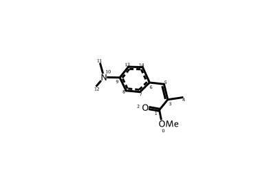 COC(=O)C(C)=Cc1ccc(N(C)C)cc1